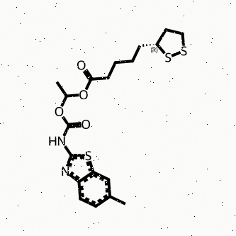 Cc1ccc2nc(NC(=O)OC(C)OC(=O)CCCC[C@@H]3CCSS3)sc2c1